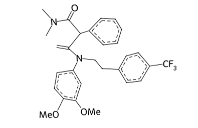 C=C(C(C(=O)N(C)C)c1ccccc1)N(CCc1ccc(C(F)(F)F)cc1)c1ccc(OC)c(OC)c1